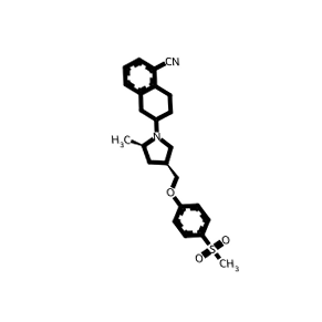 C[C@@H]1C[C@H](COc2ccc(S(C)(=O)=O)cc2)CN1C1CCc2c(C#N)cccc2C1